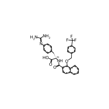 NC(N)=Nc1ccc(C[C@H](NC(=O)c2ccc3ccccc3c2OCc2ccc(C(F)(F)F)cc2)C(=O)O)cc1